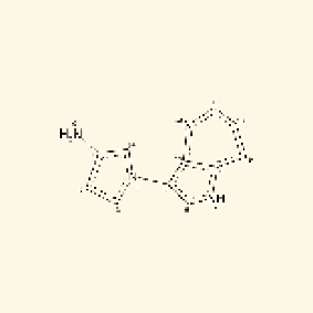 Nc1ccn(-c2c[nH]c3cccnc23)c1